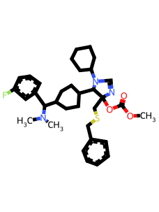 COC(=O)OC1(CSCc2ccccc2)N=CN(C2CCCCC2)C1C1CCC(C(c2cccc(F)c2)N(C)C)CC1